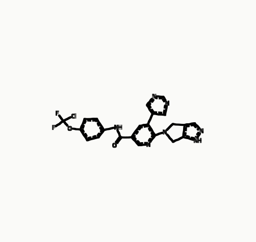 O=C(Nc1ccc(OC(F)(F)Cl)cc1)c1cnc(N2Cc3cn[nH]c3C2)c(-c2cncnc2)c1